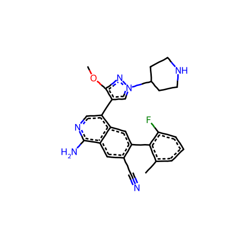 COc1nn(C2CCNCC2)cc1-c1cnc(N)c2cc(C#N)c(-c3c(C)cccc3F)cc12